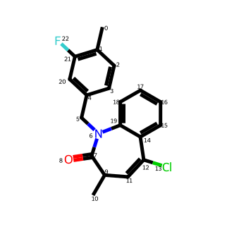 Cc1ccc(CN2C(=O)C(C)C=C(Cl)c3ccccc32)cc1F